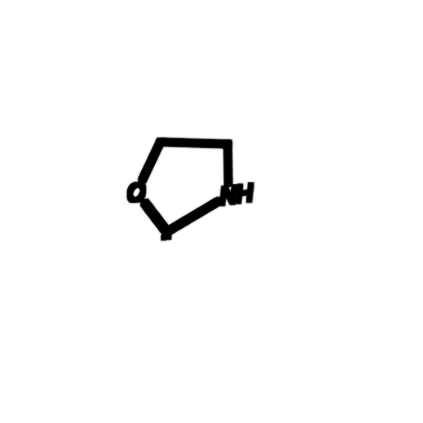 [C]1NCCO1